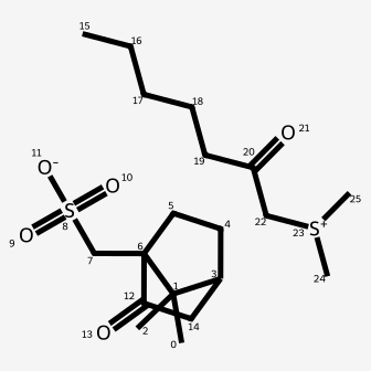 CC1(C)C2CCC1(CS(=O)(=O)[O-])C(=O)C2.CCCCCC(=O)C[S+](C)C